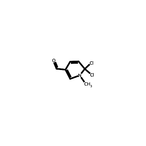 CN1C=C(C=O)C=CC1(Cl)Cl